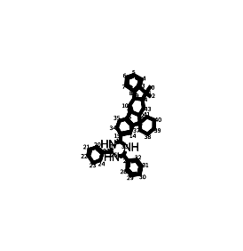 CC1(C)c2ccccc2C2C=C3C4=C(C=C(C5NC(C6=CC=CCC6)NC(c6ccccc6)N5)CC4)C4(CCCCC4)C3CC21